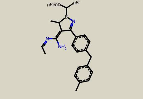 C/C=N\C(N)=C1\C(c2ccc(Cc3ccc(C)cc3)cc2)=NB(C(CCC)CCCCC)C1C